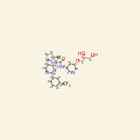 O=C(Nc1cncc(OC[C@H](O)CO)c1)N1c2nc(-c3cccc(C(F)(F)F)c3)ncc2N2CC[C@H]1C2